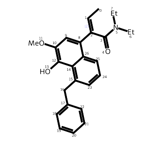 C/C=C(\C(=O)N(CC)CC)c1cc(OC)c(O)c2c(Cc3ccccc3)cccc12